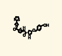 O=C(Nc1ccc(C(=O)N2CC(c3nccs3)C2)s1)[C@@H]1C[C@@H](OCc2ccc(CO)cc2)CN1